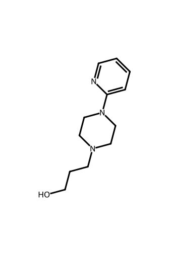 OCCCN1CCN(c2ccccn2)CC1